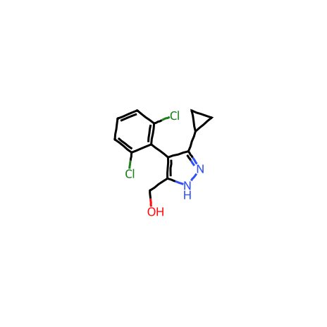 OCc1[nH]nc(C2CC2)c1-c1c(Cl)cccc1Cl